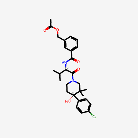 CC(=O)OCc1cccc(C(=O)N[C@@H](C(=O)N2CC[C@](O)(c3ccc(Cl)cc3)C(C)(C)C2)C(C)C)c1